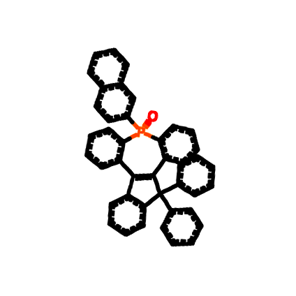 O=P1(c2ccc3ccccc3c2)c2ccccc2C2=C(c3ccccc31)C(c1ccccc1)(c1ccccc1)c1ccccc12